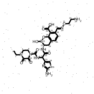 CCN1CCN(C(=O)NC(C(=O)N[C@H]2Cc3ccc(C=NOCCN)c(C(=O)O)c3OB2O)c2csc(N)n2)C(=O)C1=O